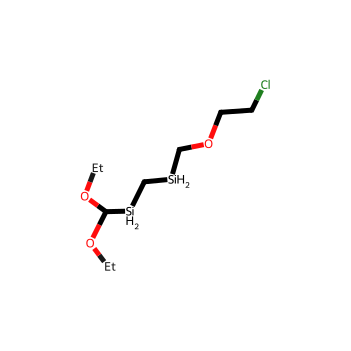 CCOC(OCC)[SiH2]C[SiH2]COCCCl